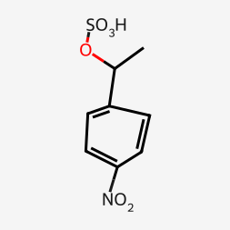 CC(OS(=O)(=O)O)c1ccc([N+](=O)[O-])cc1